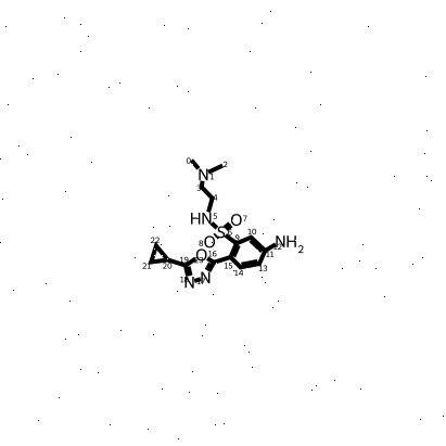 CN(C)CCNS(=O)(=O)c1cc(N)ccc1-c1nnc(C2CC2)o1